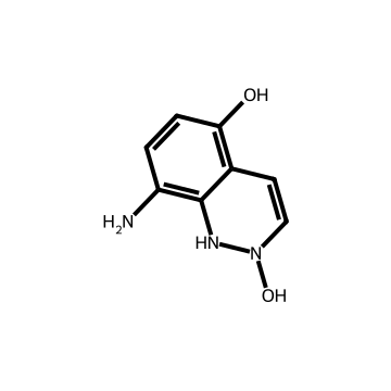 Nc1ccc(O)c2c1NN(O)C=C2